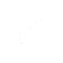 O=c1[nH]c2ccccc2cc1-c1csc(-c2ccc(F)cc2)n1